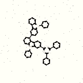 c1ccc(-c2nc(-c3ccccc3)nc(-c3ccc4c5c(-c6ccc7c(c6)c6ccccc6n7-c6ccccc6)cccc5n(-c5ccccc5)c4c3)n2)cc1